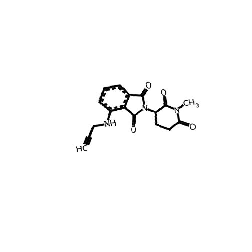 C#CCNc1cccc2c1C(=O)N(C1CCC(=O)N(C)C1=O)C2=O